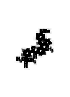 CNc1ncc2c(n1)N1CCN=C1C(c1cc(NC(=O)c3cccc(C(C)(C)O)c3)ccc1C)=C2